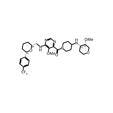 COc1c(NC[C@H]2CCC[C@@H](c3ccc(C(F)(F)F)cc3)O2)ncnc1C(=O)N1CCC(N[C@H]2CCOC[C@H]2OC)CC1